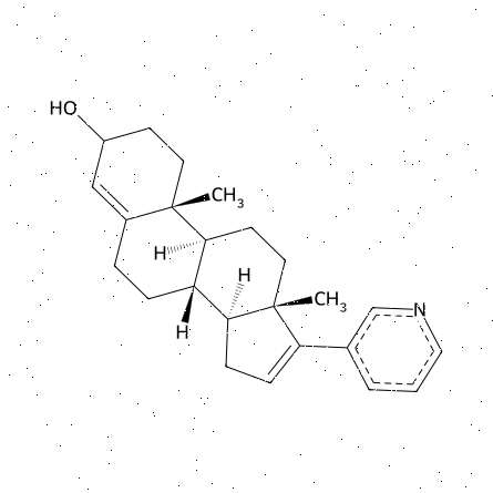 C[C@]12CCC(O)C=C1CC[C@@H]1[C@@H]2CC[C@]2(C)C(c3cccnc3)=CC[C@@H]12